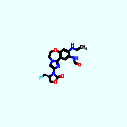 CCNc1cc2c(cc1NC=O)-c1nc(N3C(=O)OC[C@H]3CF)cn1CCO2